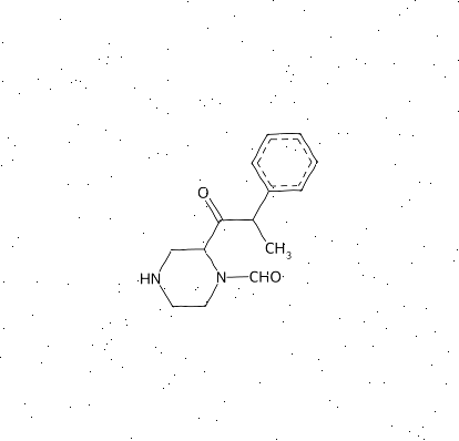 CC(C(=O)C1CNCCN1[C]=O)c1ccccc1